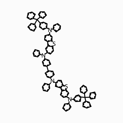 c1ccc(N(c2ccc(C(c3ccccc3)(c3ccccc3)c3ccccc3)cc2)c2ccc3c(c2)sc2ccc(N(c4ccccc4)c4ccc(-c5ccc(N(c6ccccc6)c6ccc7sc8cc(N(c9ccccc9)c9ccc(C(c%10ccccc%10)(c%10ccccc%10)c%10ccccc%10)cc9)ccc8c7c6)cc5)cc4)cc23)cc1